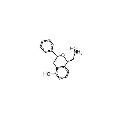 Cl.NC[C@@H]1O[C@H](c2ccccc2)Cc2c(O)cccc21